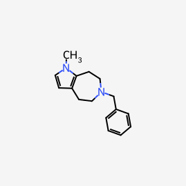 Cn1ccc2c1CCN(Cc1ccccc1)CC2